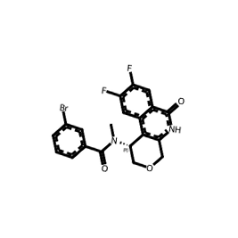 CN(C(=O)c1cccc(Br)c1)[C@H]1COCc2[nH]c(=O)c3cc(F)c(F)cc3c21